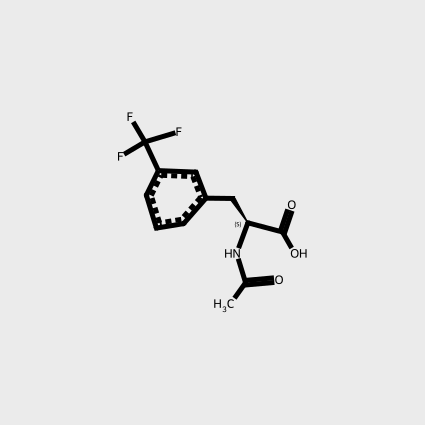 CC(=O)N[C@@H](Cc1cccc(C(F)(F)F)c1)C(=O)O